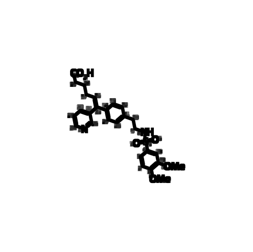 COc1ccc(S(=O)(=O)NCCc2ccc(C(=CCCCC(=O)O)c3cccnc3)cc2)cc1OC